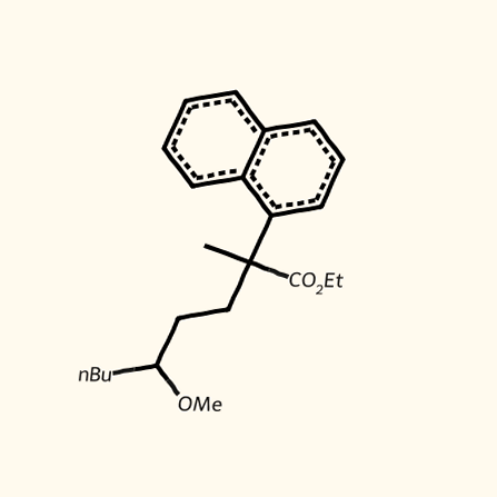 CCCCC(CCC(C)(C(=O)OCC)c1cccc2ccccc12)OC